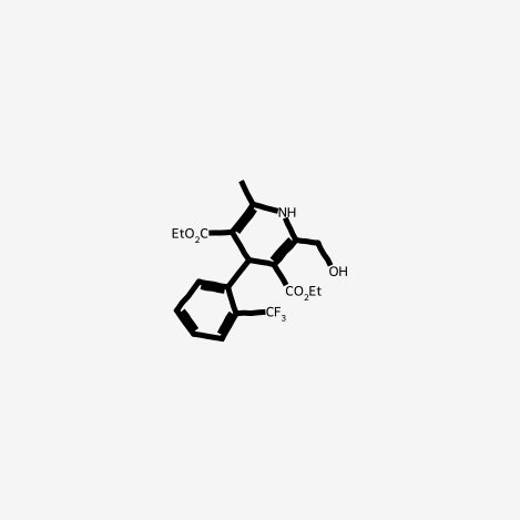 CCOC(=O)C1=C(C)NC(CO)=C(C(=O)OCC)C1c1ccccc1C(F)(F)F